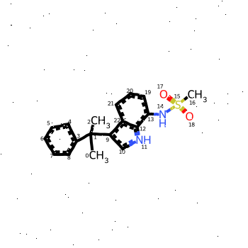 CC(C)(c1ccccc1)c1c[nH]c2c(NS(C)(=O)=O)cccc12